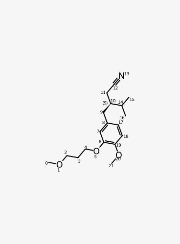 COCCCOc1cc(C[C@@H](CC#N)C(C)C)ccc1OC